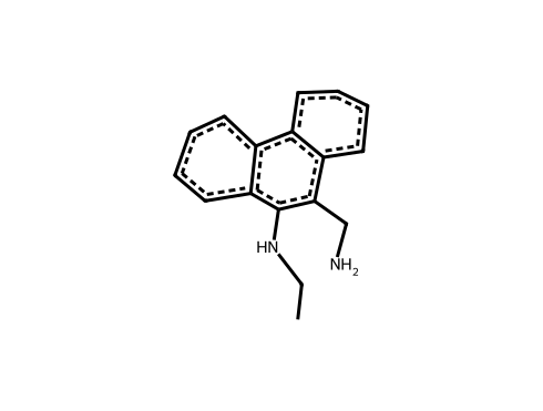 CCNc1c(CN)c2ccccc2c2ccccc12